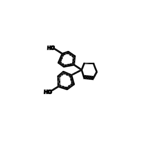 Oc1ccc(C2(c3ccc(O)cc3)C#CCCC2)cc1